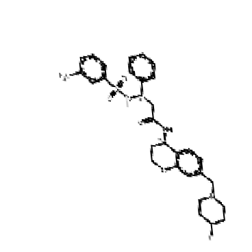 O=C(C[C@@H](NS(=O)(=O)c1cccc(C(F)(F)F)c1)c1ccccc1)N[C@@H]1CCOc2cc(CN3CCC(F)CC3)ccc21